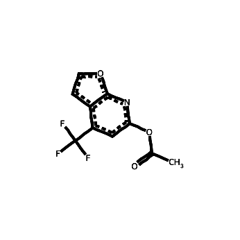 CC(=O)Oc1cc(C(F)(F)F)c2ccoc2n1